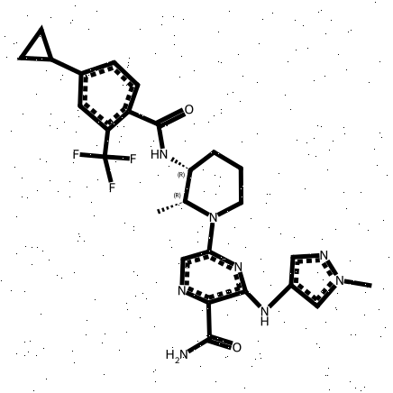 C[C@@H]1[C@H](NC(=O)c2ccc(C3CC3)cc2C(F)(F)F)CCCN1c1cnc(C(N)=O)c(Nc2cnn(C)c2)n1